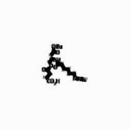 CC(C)COC(=O)C[C@@H](COC(=O)CCC(=O)O)NC(=O)CCCCCN=[N+]=[N-]